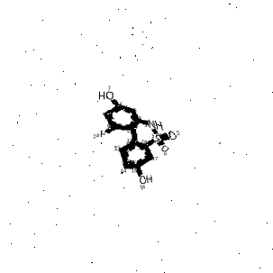 O=S1(=O)Nc2cc(O)cc(F)c2-c2ccc(O)cc21